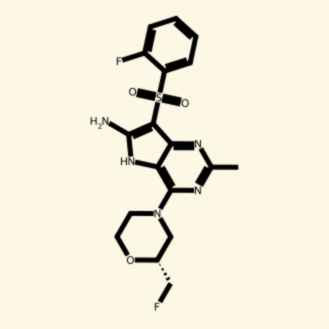 Cc1nc(N2CCO[C@@H](CF)C2)c2[nH]c(N)c(S(=O)(=O)c3ccccc3F)c2n1